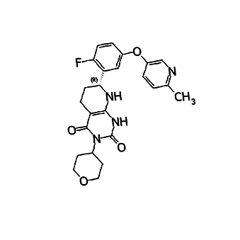 Cc1ccc(Oc2ccc(F)c([C@H]3CCc4c([nH]c(=O)n(C5CCOCC5)c4=O)N3)c2)cn1